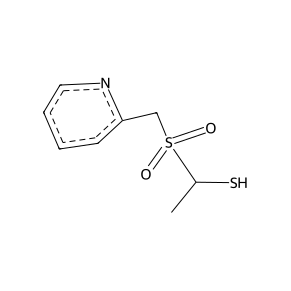 CC(S)S(=O)(=O)Cc1ccccn1